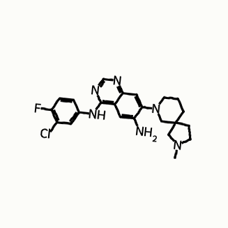 CN1CCC2(CCCN(c3cc4ncnc(Nc5ccc(F)c(Cl)c5)c4cc3N)C2)C1